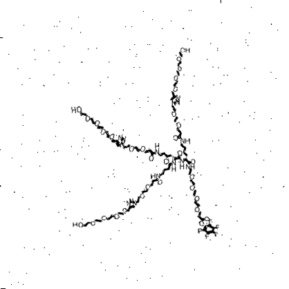 O=C(CCOCCOCCn1cc(COCCOCCOCCOCCO)nn1)NCCCC[C@@H](NC(=O)CCCNC(=O)CCOCCOCCn1cc(COCCOCCOCCOCCO)nn1)C(=O)N[C@H](CCCCNC(=O)CCOCCOCCn1cc(COCCOCCOCCOCCO)nn1)C(=O)NCCOCCOCCOCCOCCC(=O)Oc1c(F)c(F)c(F)c(F)c1F